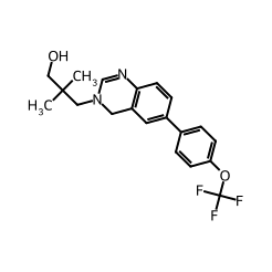 CC(C)(CO)CN1C=Nc2ccc(-c3ccc(OC(F)(F)F)cc3)cc2C1